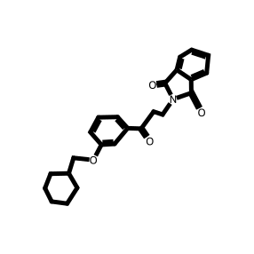 O=C(CCN1C(=O)c2ccccc2C1=O)c1cccc(OCC2CCCCC2)c1